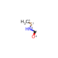 CSNC=O